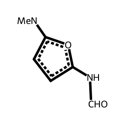 CNc1ccc(NC=O)o1